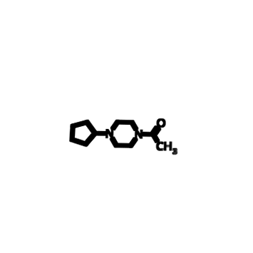 CC(=O)N1CCN(C2CCCC2)CC1